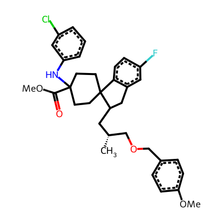 COC(=O)C1(Nc2cccc(Cl)c2)CCC2(CC1)c1ccc(F)cc1CC2C[C@@H](C)COCc1ccc(OC)cc1